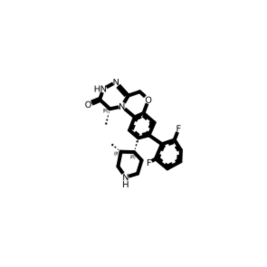 C[C@@H]1C(=O)NN=C2COc3cc(-c4c(F)cccc4F)c([C@@H]4CCNC[C@@H]4C)cc3N21